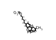 CC1=CC[C@@]2(O)[C@H](C1)c1ccc(CCCCCO[N+](=O)[O-])cc1OC2(F)F